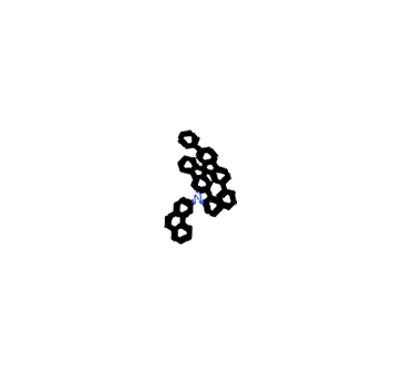 c1ccc(-c2ccc3c(c2)C2(c4ccccc4-c4cc5c(cc42)c2ccccc2n5-c2ccc4ccc5ccccc5c4c2)c2cc(-c4ccccc4)ccc2-3)cc1